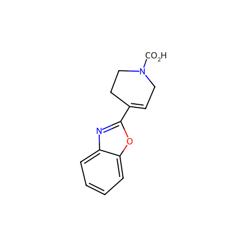 O=C(O)N1CC=C(c2nc3ccccc3o2)CC1